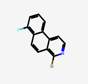 Fc1cccc2c1ccc1c(Br)nccc12